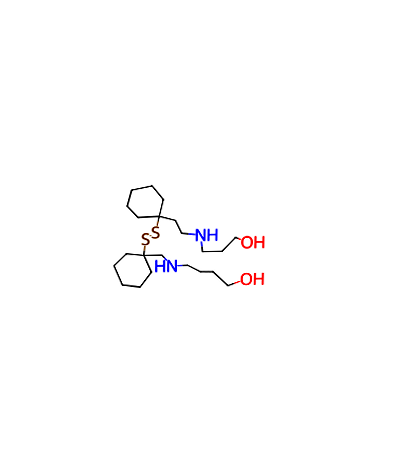 OCCCCNCC1(SSC2(CCNCCCO)CCCCC2)CCCCC1